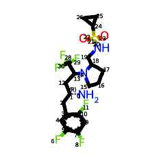 N[C@H](Cc1cc(F)c(F)cc1F)CC(N1CCCC1CNS(=O)(=O)C1CC1)C(F)(F)F